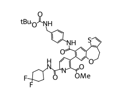 COC(=O)c1nc(C(=O)NC2CCC(F)(F)CC2)ccc1-c1cc2c(cc1C(=O)Nc1ccc(CNC(=O)OC(C)(C)C)cc1)-c1sccc1CCO2